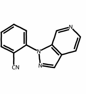 N#Cc1ccccc1-n1ncc2ccncc21